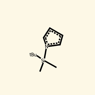 CC(C)(C)[Si](C)(C)n1cccc1